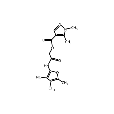 Cc1oc(NC(=O)COC(=O)c2cnn(C)c2C)c(C#N)c1C